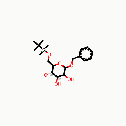 CC(C)(C)[Si](C)(C)OCC1OC(OCc2ccccc2)C(O)[C@@H](O)[C@@H]1O